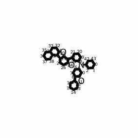 c1ccc(N(c2ccc3c(c2)oc2ccccc23)c2cccc3c2oc2ccc4c(oc5ccc6ccccc6c54)c23)cc1